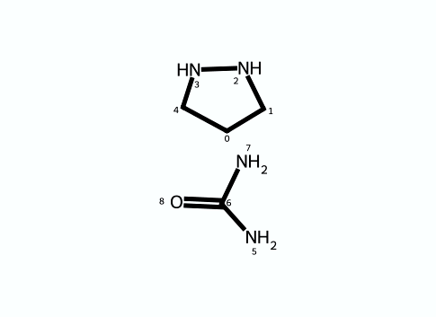 C1CNNC1.NC(N)=O